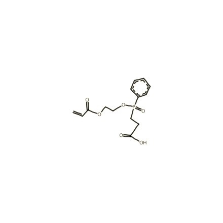 C=CC(=O)OCCOP(=O)(CCC(=O)O)c1ccccc1